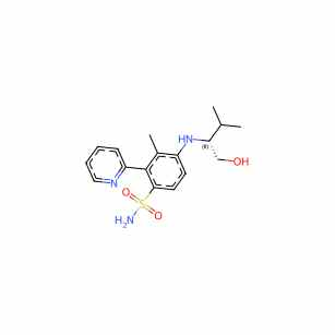 Cc1c(N[C@@H](CO)C(C)C)ccc(S(N)(=O)=O)c1-c1ccccn1